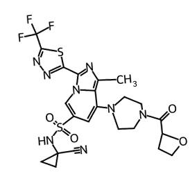 Cc1nc(-c2nnc(C(F)(F)F)s2)n2cc(S(=O)(=O)NC3(C#N)CC3)cc(N3CCN(C(=O)C4CCO4)CC3)c12